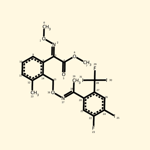 CO/N=C(/C(=O)OC)c1cccc(C)c1CO/N=C(\C)c1cc(F)c(I)cc1C(F)(I)I